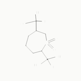 CC(C)(C)C1CCCC(C(C)(C)C)S(=O)(=O)C1